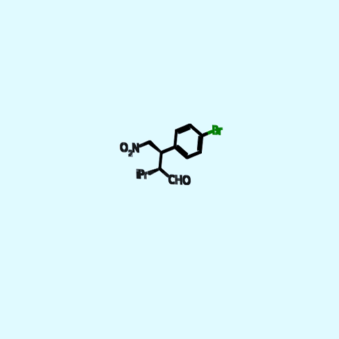 CC(C)[C@H](C=O)[C@@H](C[N+](=O)[O-])c1ccc(Br)cc1